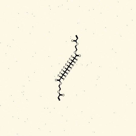 C=CC(=O)OCCOC(=O)C(F)(F)C(F)(F)C(F)(F)C(F)(F)C(F)(F)C(F)(F)C(F)(F)C(F)(F)C(=O)OCCOC(=O)C=C